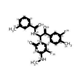 CNc1nc(=O)n(C(NC(=O)c2cccc(C)c2)C(=O)c2ccc(C)c(F)c2)cc1F